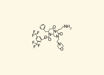 NCCC[C@H]1C(=O)N(CCN2CCOCC2)CC2N(C(=O)OCc3cc(C(F)(F)F)cc(C(F)(F)F)c3)C(Cc3ccccc3)CC(=O)N21